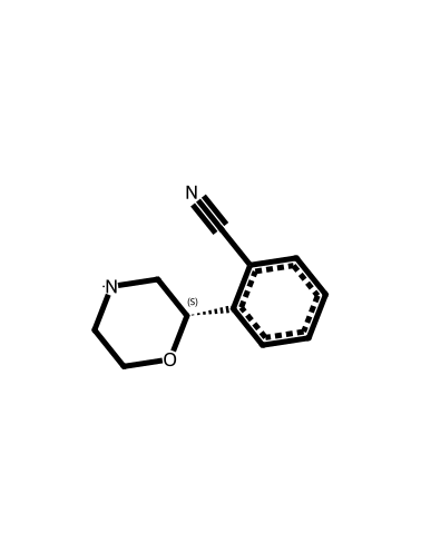 N#Cc1ccccc1[C@H]1C[N]CCO1